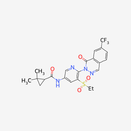 CCS(=O)(=O)c1cc(NC(=O)C2CC2(C)C)cnc1-n1ncc2ccc(C(F)(F)F)cc2c1=O